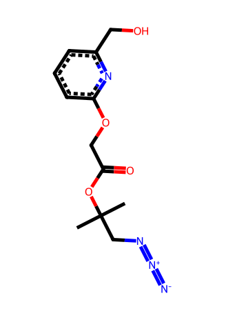 CC(C)(CN=[N+]=[N-])OC(=O)COc1cccc(CO)n1